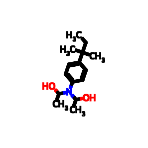 CCC(C)(C)c1ccc(N(C(C)O)C(C)O)cc1